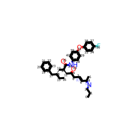 CCC/N=C(C)\C=C\CC(=O)C[C@@H](C[C@H](CC)Cc1ccccc1)C(=O)Nc1ccc(Oc2ccc(F)cc2)cc1